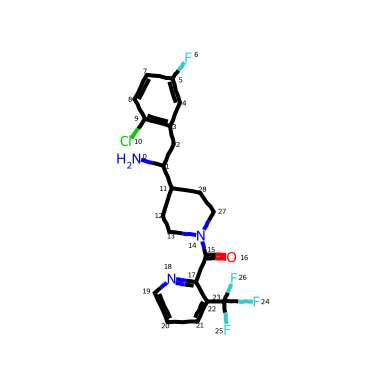 NC(Cc1cc(F)ccc1Cl)C1CCN(C(=O)c2ncccc2C(F)(F)F)CC1